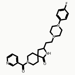 O=C(c1cccnc1)N1CCC2(CC1)CC(CCN1CCN(c3ccc(F)cc3)CC1)NC2=O